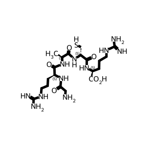 C[C@H](NC(=O)[C@H](CCCNC(=N)N)NC(=O)CN)C(=O)N[C@H](CS)C(=O)N[C@@H](CCCNC(=N)N)C(=O)O